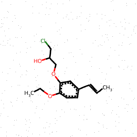 CC=Cc1ccc(OCC)c(OCC(O)CCl)c1